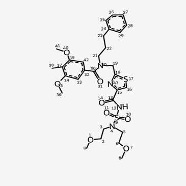 COCCN(CCOC)S(=O)(=O)NC(=O)c1csc(CN(CCCc2ccccc2)C(=O)c2cc(OC)c(C)c(OC)c2)n1